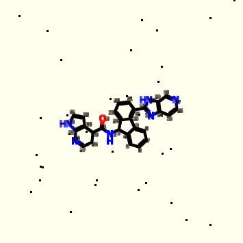 O=C(NC1c2ccccc2-c2c(-c3nc4ccncc4[nH]3)cccc21)C1CC=Nc2[nH]ccc21